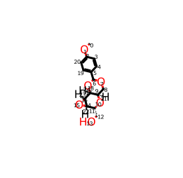 COc1ccc(C2OC[C@H]3O[C@H](CO)[C@@H]4O[C@@H]4[C@@H]3O2)cc1